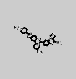 CC1CCC(c2ccc3sc(C4CCN(C)CC4)nc3c2)N(C(=O)c2ccc3nc(N)c4cncn4c3c2)C1